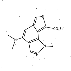 CCOC(=O)c1scc2cc(N(C)C)c3cnn(C)c3c12